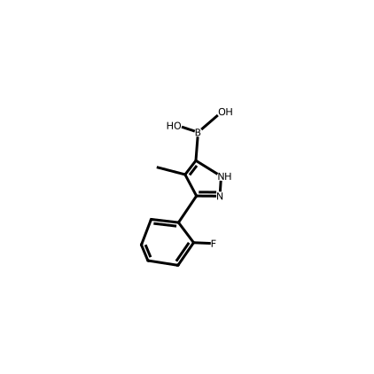 Cc1c(-c2ccccc2F)n[nH]c1B(O)O